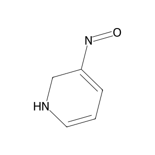 O=NC1=CC=CNC1